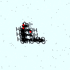 O=C(O)CCCC[C@@H]1SC[C@@H]2NC(=O)N[C@@H]21.O=C(O)CCCC[C@@H]1SC[C@@H]2NC(=O)N[C@@H]21.O=C(O)CCCC[C@@H]1SC[C@@H]2NC(=O)N[C@@H]21.O=C([O-])c1ccccn1.O=C([O-])c1ccccn1.O=C([O-])c1ccccn1.[Cr+3]